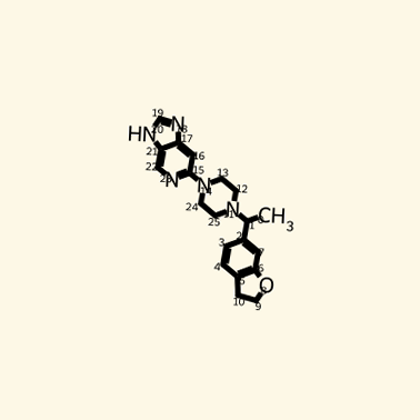 CC(c1ccc2c(c1)OCC2)N1CCN(c2cc3nc[nH]c3cn2)CC1